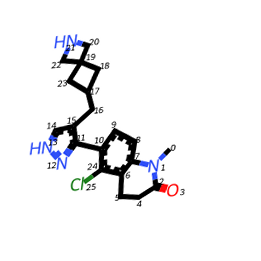 CN1C(=O)CCc2c1ccc(-c1n[nH]cc1CC1CC3(CNC3)C1)c2Cl